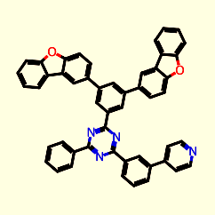 c1ccc(-c2nc(-c3cccc(-c4ccncc4)c3)nc(-c3cc(-c4ccc5oc6ccccc6c5c4)cc(-c4ccc5oc6ccccc6c5c4)c3)n2)cc1